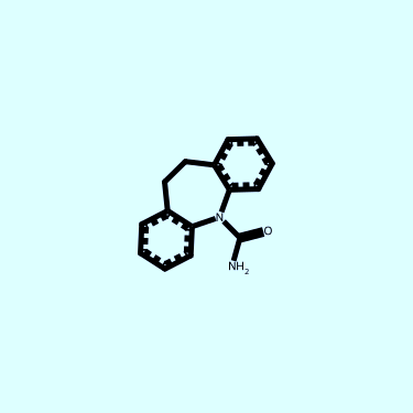 NC(=O)N1c2ccccc2CCc2ccccc21